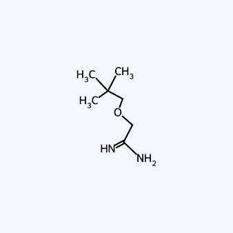 CC(C)(C)COCC(=N)N